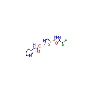 O=C(Nc1cccnc1)OCc1ncc(-c2nnc(C(F)F)o2)s1